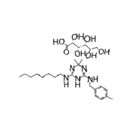 CCCCCCCCNC1=NC(C)(C)N=C(NCc2ccc(C)cc2)N1.O=C(O)[C@H](O)[C@@H](O)[C@H](O)[C@H](O)CO